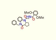 COc1cccc(OC)c1C(=O)NCC(=O)N1c2ccccc2N(Cc2ccccc2)C(=O)C2CCCC21